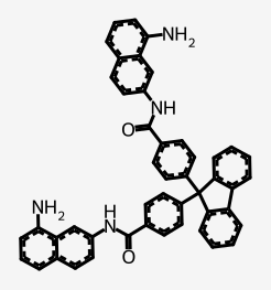 Nc1cccc2ccc(NC(=O)c3ccc(C4(c5ccc(C(=O)Nc6ccc7cccc(N)c7c6)cc5)c5ccccc5-c5ccccc54)cc3)cc12